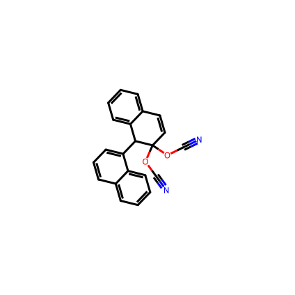 N#COC1(OC#N)C=Cc2ccccc2C1c1cccc2ccccc12